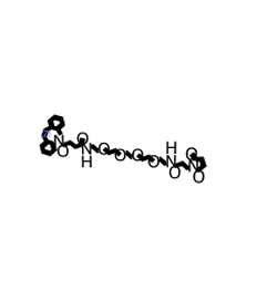 O=C(CCC(=O)N1Cc2ccccc2/C=C\c2ccccc21)NCCOCCOCCOCCOCCNC(=O)CCN1C(=O)C=CC1=O